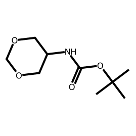 CC(C)(C)OC(=O)NC1COCOC1